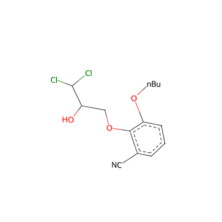 CCCCOc1cccc(C#N)c1OCC(O)C(Cl)Cl